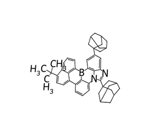 CC(C)(C)c1ccc2c3c(cccc13)B1c3c-2cccc3-n2c(C34CC5CC(CC(C5)C3)C4)nc3cc(C45CC6CC(CC(C6)C4)C5)cc1c32